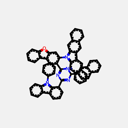 c1ccc(-n2c3ccccc3c3cccc(C4=NC(c5ccc6ccccc6c5)NC(c5cc6c(cc5-n5c7cc8ccccc8cc7c7cc8ccccc8cc75)oc5ccccc56)=N4)c32)cc1